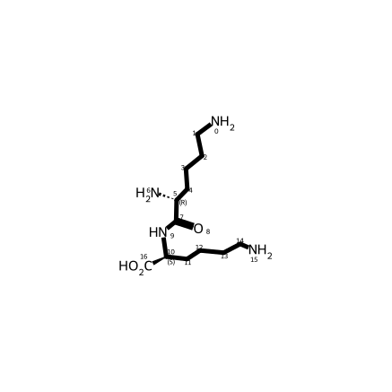 NCCCC[C@@H](N)C(=O)N[C@@H](CCCCN)C(=O)O